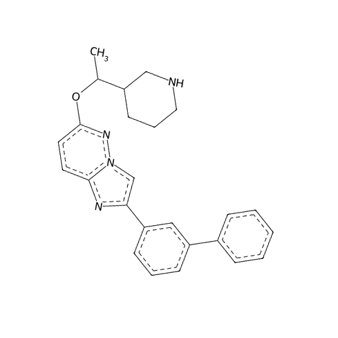 CC(Oc1ccc2nc(-c3cccc(-c4ccccc4)c3)cn2n1)C1CCCNC1